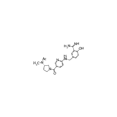 CC(=O)N(C)[C@H]1CCN(C(=O)c2ccc(NCc3ccc(O)c(C(=N)N)c3)nc2)C1